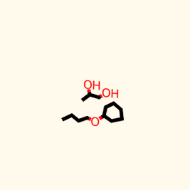 CC(O)CO.CCCCOC1CCCCC1